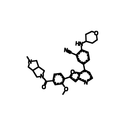 COc1cc(C(=O)N2CC3CN(C)CC3C2)ccc1-c1cc2nccc(-c3ccc(NC4CCOCC4)c(C#N)c3)c2o1